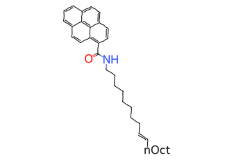 CCCCCCCCC=CCCCCCCCCNC(=O)c1ccc2ccc3cccc4ccc1c2c34